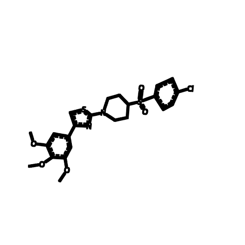 COc1cc(-c2csc(N3CCC(S(=O)(=O)c4ccc(Cl)cc4)CC3)n2)cc(OC)c1OC